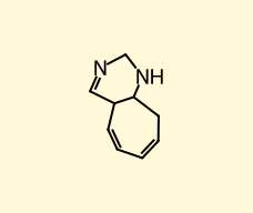 C1=CCC2NCN=CC2C=C1